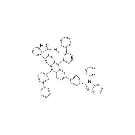 CC1(C)c2ccccc2-c2cc3c(-c4cccc(-c5ccccc5)c4)c4ccc(-c5ccc(-c6nc7ccccc7n6-c6ccccc6)cc5)cc4c(-c4cccc(-c5ccccc5)c4)c3cc21